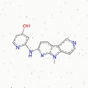 Cn1c2ccncc2c2ccc(Nc3cc(O)ccn3)nc21